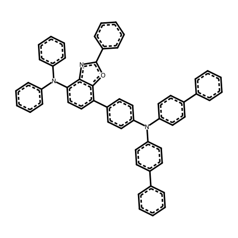 c1ccc(-c2ccc(N(c3ccc(-c4ccccc4)cc3)c3ccc(-c4ccc(N(c5ccccc5)c5ccccc5)c5nc(-c6ccccc6)oc45)cc3)cc2)cc1